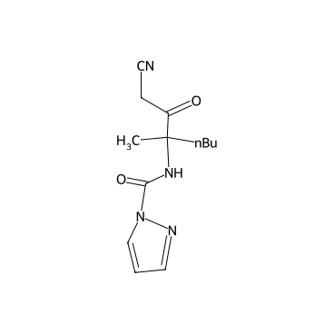 CCCCC(C)(NC(=O)n1cccn1)C(=O)CC#N